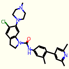 Cc1cc(-c2ccc(NC(=O)N3CCc4cc(Cl)c(N5CCN(C)CC5)cc43)cc2C)cc(C)n1